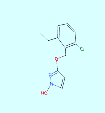 CCc1cccc(Cl)c1COc1ccn(O)n1